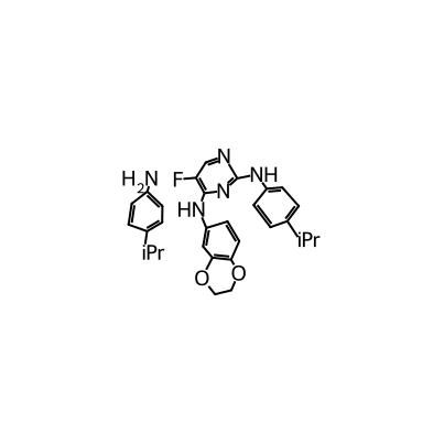 CC(C)c1ccc(N)cc1.CC(C)c1ccc(Nc2ncc(F)c(Nc3ccc4c(c3)OCCO4)n2)cc1